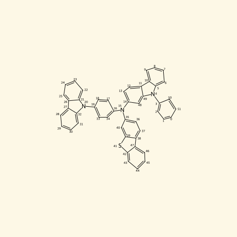 c1ccc(-n2c3ccccc3c3ccc(N(c4ccc(-n5c6ccccc6c6ccccc65)cc4)c4ccc5c(c4)sc4ccccc45)cc32)cc1